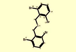 Brc1cccc(Br)c1CSCc1c(Br)cccc1Br